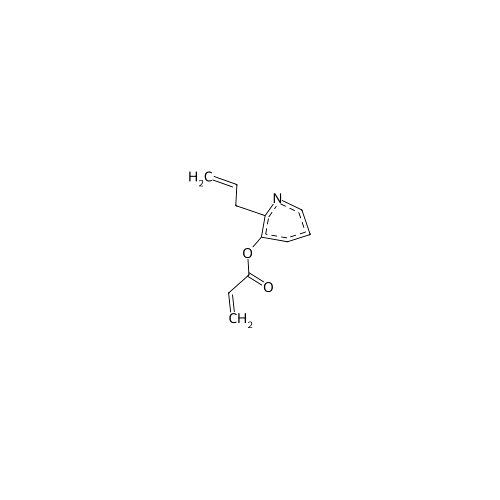 C=CCc1ncccc1OC(=O)C=C